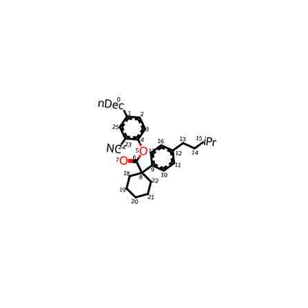 CCCCCCCCCCc1ccc(OC(=O)C2(c3ccc(CCC(C)C)cc3)CCCCC2)c(C#N)c1